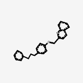 c1ccc(CCCc2ccc(OCc3ccc4ccccc4n3)cc2)cc1